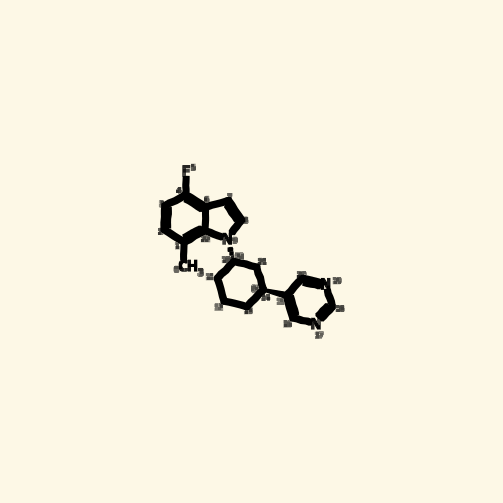 Cc1ccc(F)c2ccn([C@H]3CCC[C@H](c4cncnc4)C3)c12